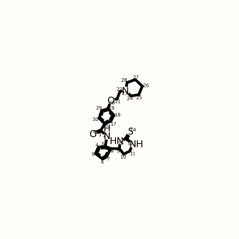 O=C(Nc1ccccc1C1CCNC(=S)N1)c1ccc(OCCN2CCCCC2)cc1